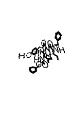 CC[C@H](C)[C@H](NCCc1ccccc1)C(=O)NC(=O)[C@H](Cc1ccc(O)cc1)NC(=O)[C@@H](NC(=O)OCc1ccccc1)C(C)C